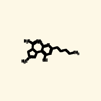 C=C(C)C1C[N+](C)=CC1c1c(O)cc(CCCCC)nc1O